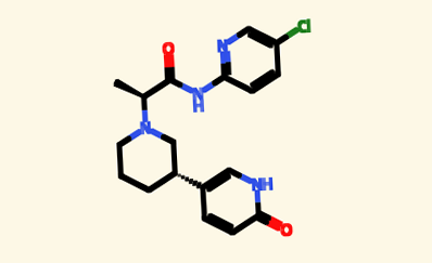 C[C@@H](C(=O)Nc1ccc(Cl)cn1)N1CCC[C@@H](c2ccc(=O)[nH]c2)C1